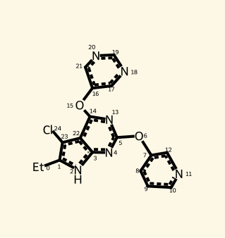 CCc1[nH]c2nc(Oc3cccnc3)nc(Oc3cncnc3)c2c1Cl